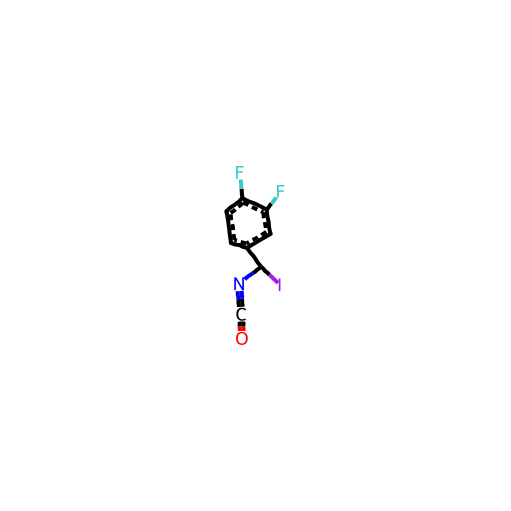 O=C=NC(I)c1ccc(F)c(F)c1